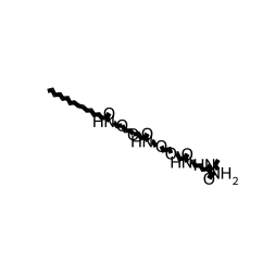 CCCCCCCCCCCCCCCC(=O)NCCOCCOCCC(=O)NCCOCCOCCC(=O)NCCCCC(NC(C)C)C(N)=O